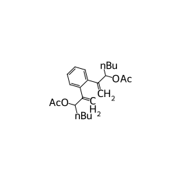 C=C(c1ccccc1C(=C)C(CCCC)OC(C)=O)C(CCCC)OC(C)=O